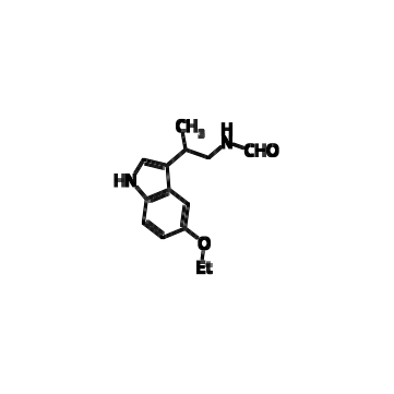 CCOc1ccc2[nH]cc(C(C)CNC=O)c2c1